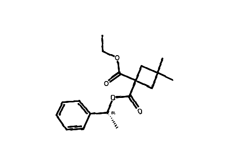 CCOC(=O)C1(C(=O)O[C@H](C)c2ccccc2)CC(C)(C)C1